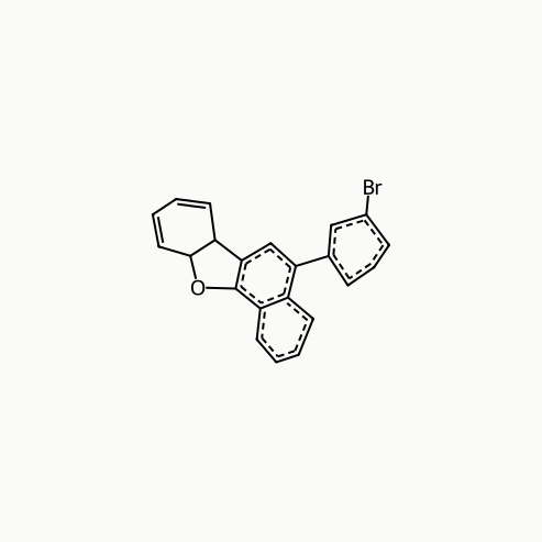 Brc1cccc(-c2cc3c(c4ccccc24)OC2C=CC=CC32)c1